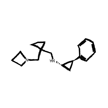 c1ccc([C@H]2C[C@@H]2NCC2(CN3CCC3)CC2)cc1